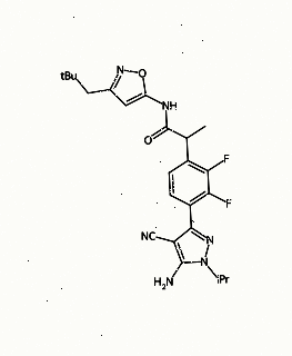 CC(C(=O)Nc1cc(CC(C)(C)C)no1)c1ccc(-c2nn(C(C)C)c(N)c2C#N)c(F)c1F